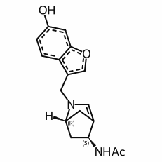 CC(=O)N[C@H]1C[C@H]2CC1=CN2Cc1coc2cc(O)ccc12